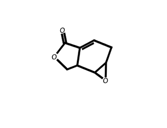 O=C1OCC2C1=CCC1OC12